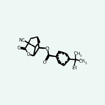 CCC(C)(C)c1ccc(C(=O)OC2C3CC4C2OC(=O)C4(C#N)C3)cc1